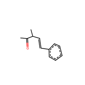 CC(=O)C(C)C=Cc1ccccc1